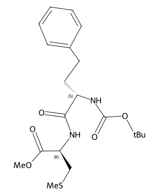 COC(=O)[C@H](CSC)NC(=O)[C@H](CCc1ccccc1)NC(=O)OC(C)(C)C